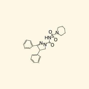 O=C(NS(=O)(=O)N1CCCCC1)N1CC(c2ccccc2)C(c2ccccc2)=N1